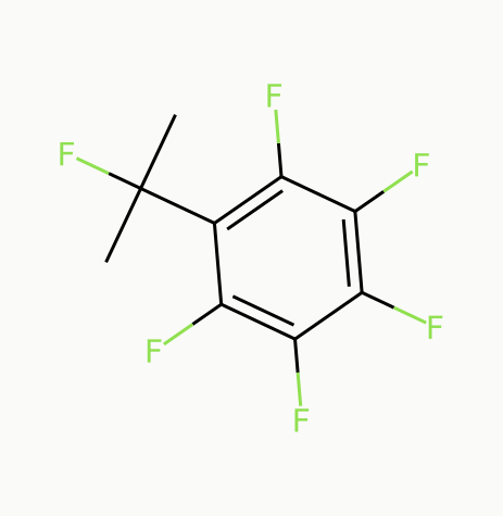 CC(C)(F)c1c(F)c(F)c(F)c(F)c1F